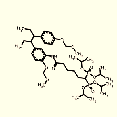 CCC(c1ccc(OCOC)cc1)C(CC)c1ccc(OCOC)c(NC(=O)CCCCC(P(=O)(OC(C)C)OC(C)C)P(=O)(OC(C)C)OC(C)C)c1